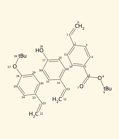 C=Cc1ccc(C(=O)OC(C)(C)C)cc1.C=Cc1ccc(O)cc1.C=Cc1ccc(OC(C)(C)C)cc1